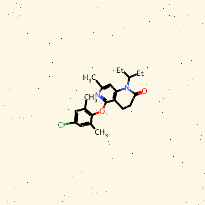 CCC(CC)N1C(=O)CCc2c1cc(C)nc2Oc1c(C)cc(Cl)cc1C